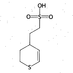 O=S(=O)(O)CCC1C=CSCC1